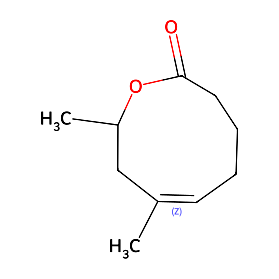 C/C1=C/CCCC(=O)OC(C)C1